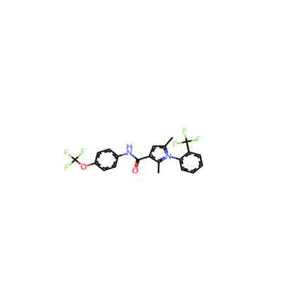 Cc1cc(C(=O)Nc2ccc(OC(F)(F)F)cc2)c(C)n1-c1ccccc1C(F)(F)F